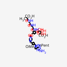 CCCCCNc1nc(N)nc2ccn(Cc3ccc(CN4CCN(C(=O)OCc5ccc(OC6O[C@@H](C(=O)O)[C@H](O)[C@@H](O)[C@@H]6O)c(NC(=O)CCNC(=O)CCNC(=O)CC(C)C(=O)O)c5)CC4)cc3OC)c12